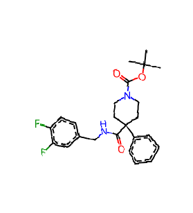 CC(C)(C)OC(=O)N1CCC(C(=O)NCc2ccc(F)c(F)c2)(c2ccccc2)CC1